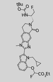 CCOC(=O)C(F)Oc1cccc2cc(-c3nc4cc5c(cc4n3C)CCN(C[C@@H](CF)NC(=O)OC(C)(C)C)C5=O)n(CC3CC3)c12